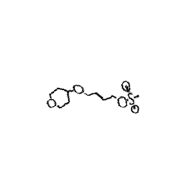 CS(=O)(=O)OCC=CCOC1CCOCC1